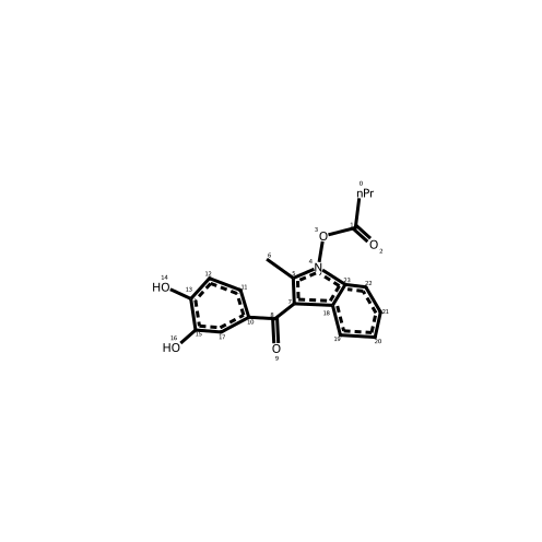 CCCC(=O)On1c(C)c(C(=O)c2ccc(O)c(O)c2)c2ccccc21